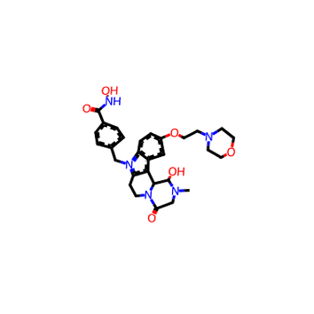 CN1CC(=O)N2CCc3c(c4cc(OCCN5CCOCC5)ccc4n3Cc3ccc(C(=O)NO)cc3)C2C1O